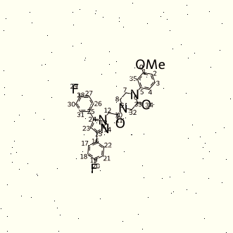 COc1cccc(N2CCN(C(=O)Cn3nc(-c4ccc(F)cc4)cc3-c3ccc(F)cc3)CC2=O)c1